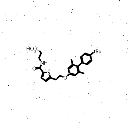 Cc1cc(OCCc2ccc(C(=O)NCCC(=O)O)s2)cc(C)c1-c1ccc(C(C)(C)C)cc1